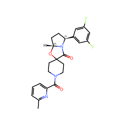 Cc1cccc(C(=O)N2CCC3(CC2)O[C@@H]2CC[C@@H](c4cc(F)cc(F)c4)N2C3=O)n1